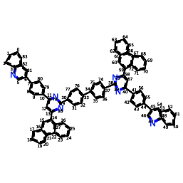 c1ccc2ncc(-c3ccc(-c4cc(-c5cc6ccccc6c6ccccc56)nc(-c5ccc(-c6ccc(-c7nc(-c8ccc(-c9cnc%10ccccc%10c9)cc8)cc(-c8cc9ccccc9c9ccccc89)n7)cc6)cc5)n4)cc3)cc2c1